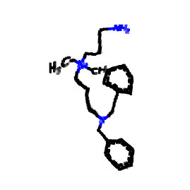 C[N+](C)(CCCN)CCCN(Cc1ccccc1)Cc1ccccc1